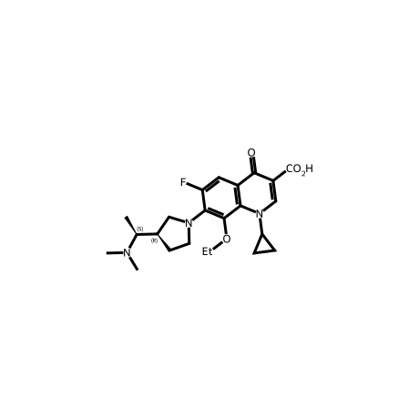 CCOc1c(N2CC[C@@H]([C@H](C)N(C)C)C2)c(F)cc2c(=O)c(C(=O)O)cn(C3CC3)c12